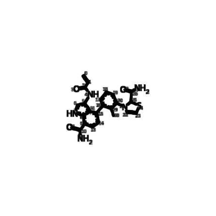 C=CC(=O)Nc1c[nH]c2c(C(N)=O)ccc(-c3cccc(N4C=CSC4C(N)=O)c3C)c12